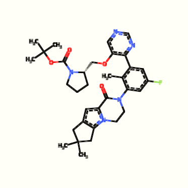 Cc1c(-c2ncncc2OC[C@@H]2CCCN2C(=O)OC(C)(C)C)cc(F)cc1N1CCn2c(cc3c2CC(C)(C)C3)C1=O